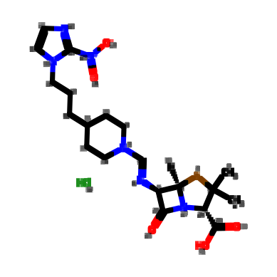 CC1(C)S[C@@H]2[C@H](N=CN3CCC(CCCn4ccnc4[N+](=O)[O-])CC3)C(=O)N2[C@H]1C(=O)O.Cl